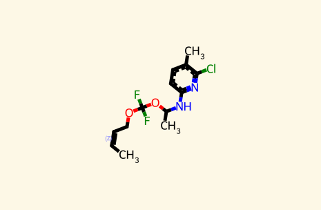 C/C=C\COC(F)(F)OC(C)Nc1ccc(C)c(Cl)n1